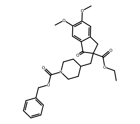 CCOC(=O)C1(CC2CCN(C(=O)OCc3ccccc3)CC2)Cc2cc(OC)c(OC)cc2C1=O